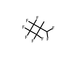 CC1(C(F)F)C(F)(F)C(F)(F)C1(F)F